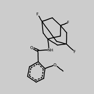 COc1ccccc1C(=O)NC12CC3(F)CC(F)(CC(F)(C3)C1)C2